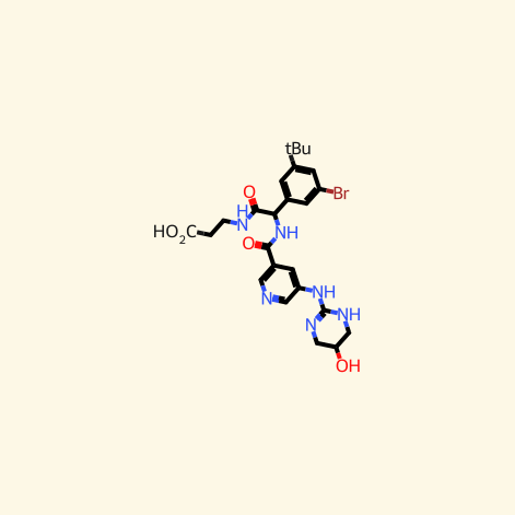 CC(C)(C)c1cc(Br)cc(C(NC(=O)c2cncc(NC3=NCC(O)CN3)c2)C(=O)NCCC(=O)O)c1